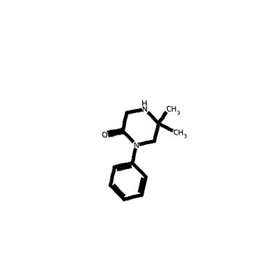 CC1(C)CN(c2ccccc2)C(=O)CN1